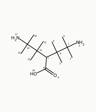 CC(C)(N)C(C)(C)C(C(=O)O)C(C)(C)C(C)(C)N